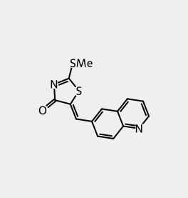 CSC1=NC(=O)C(=Cc2ccc3ncccc3c2)S1